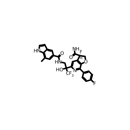 Cc1cc(C(=O)NCC(O)(c2cc3c(c(-c4ccc(F)cc4)n2)OC[C@]3(C)C(N)=O)C(F)(F)F)cc2cc[nH]c12